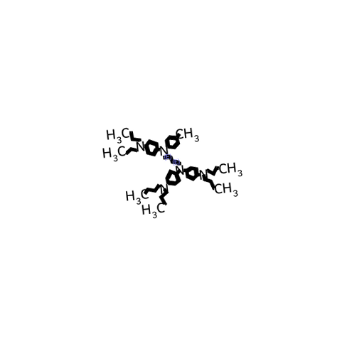 CCCCN(CCCC)c1ccc(N(/C=C/C=C/N(c2ccc(N(CCCC)CCCC)cc2)c2ccc(N(CCCC)CCCC)cc2)c2ccc(C)cc2)cc1